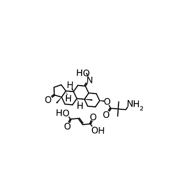 CC(C)(CN)C(=O)O[C@H]1CC[C@@]2(C)C(C1)/C(=N/O)C[C@@H]1[C@@H]2CC[C@]2(C)C(=O)CC[C@@H]12.O=C(O)/C=C/C(=O)O